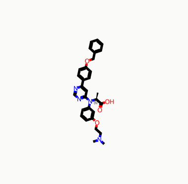 C[C@@H](C(=O)O)N(c1cccc(OCCN(C)C)c1)c1cc(-c2ccc(OCc3ccccc3)cc2)ncn1